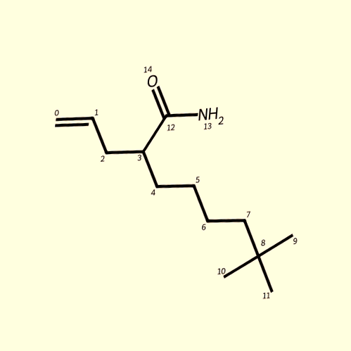 C=CCC(CCCCC(C)(C)C)C(N)=O